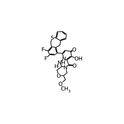 COCC1CN2C(=O)c3c(O)c(=O)cc(-c4cc(F)c(F)c5c4Cc4ccccc4SC5)n3N[C@@H]2CO1